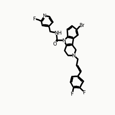 O=C(NCc1ccnc(F)c1)n1c2c(c3cc(Br)ccc31)CN(CC=Cc1ccc(F)c(F)c1)CC2